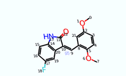 COc1ccc(OC)c(/C=C2\C(=O)Nc3ccc(F)cc32)c1